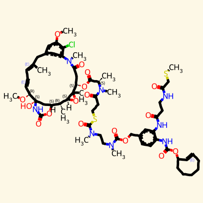 COc1cc2cc(c1Cl)N(C)C(=O)C[C@H](OC(=O)[C@H](C)N(C)C(=O)CCSC(=O)N(C)CCN(C)C(=O)OCc1ccc(NC(=O)OC3/C=C/CCCCC3)c(NC(=O)CCNC(=O)CSC)c1)C1(C)O[C@H]1[C@H](C)[C@@H]1C[C@@](O)(NC(=O)O1)[C@H](OC)/C=C/C=C(\C)C2